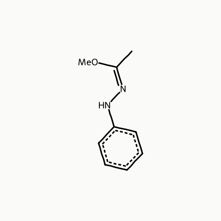 CO/C(C)=N\Nc1ccccc1